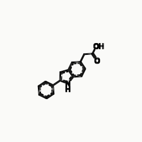 O=C(O)Cc1ccc2[nH]c(-c3ccccc3)cc2c1